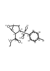 COC(=O)C1C2OC2CN1S(=O)(=O)c1ccc(C)cc1